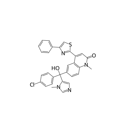 Cn1cncc1C(O)(c1ccc(Cl)cc1)c1ccc2c(c1)c(-c1nc(-c3ccccc3)cs1)cc(=O)n2C